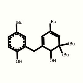 CC(C)(C)C1=CC(C(C)(C)C)(C(C)(C)C)C(O)C(Cc2cc(C(C)(C)C)ccc2O)=C1